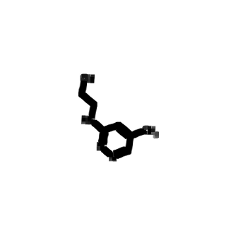 Cc1cnnc(NCCO)c1